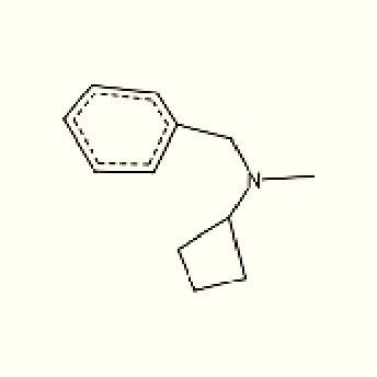 CN(Cc1ccccc1)C1CCC1